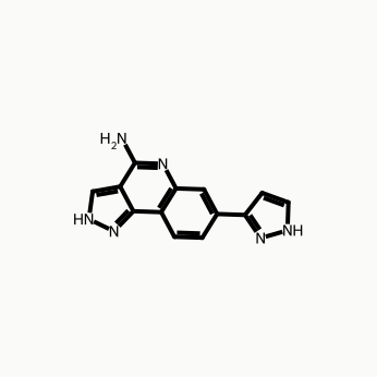 Nc1nc2cc(-c3cc[nH]n3)ccc2c2n[nH]cc12